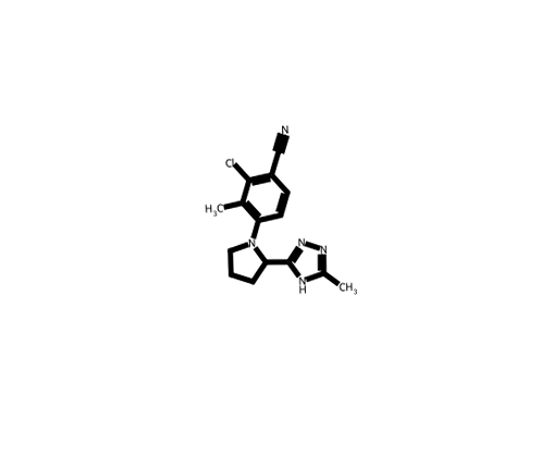 Cc1nnc(C2CCCN2c2ccc(C#N)c(Cl)c2C)[nH]1